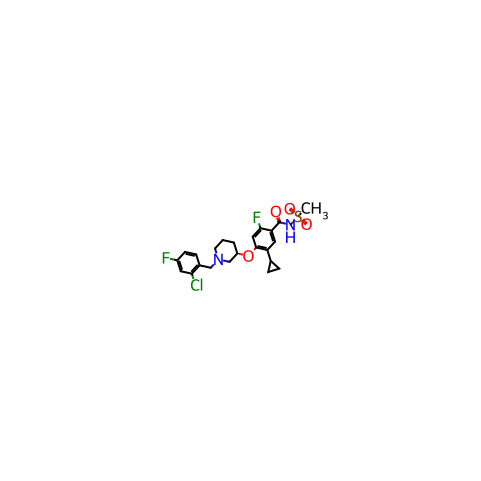 CS(=O)(=O)NC(=O)c1cc(C2CC2)c(O[C@@H]2CCCN(Cc3ccc(F)cc3Cl)C2)cc1F